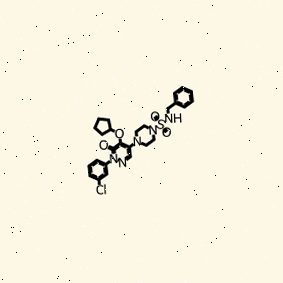 O=c1c(OC2CCCC2)c(N2CCN(S(=O)(=O)NCc3ccccc3)CC2)cnn1-c1cccc(Cl)c1